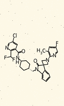 Cc1cc(F)cnc1N1CC2(C1)C(=O)N(C[C@H]1CC[C@H](NC(=O)c3cc(Cl)cnc3C(F)F)CC1)c1ccccc12